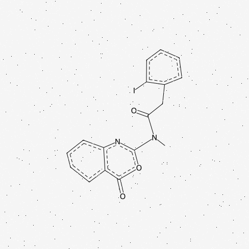 CN(C(=O)Cc1ccccc1I)c1nc2ccccc2c(=O)o1